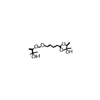 C=C(OCOCCCCC(=O)OC(=C)C(C)(C)O)C(C)(C)O